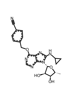 C[C@H]1O[C@@H](n2c(NC3CC3)nc3c(OCc4ccc(C#N)cc4)ncnc32)[C@H](O)[C@@H]1O